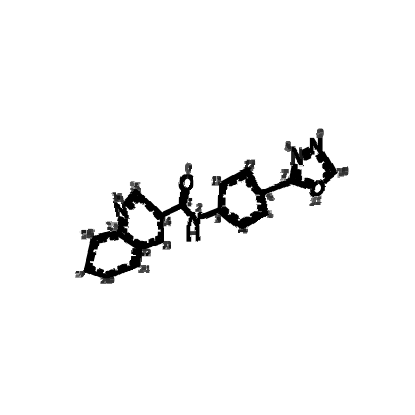 O=C(Nc1ccc(-c2nnco2)cc1)c1cnc2ccccc2c1